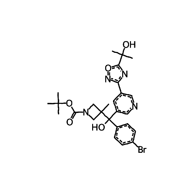 CC(C)(C)OC(=O)N1CC(C)(C(O)(c2ccc(Br)cc2)c2cncc(-c3noc(C(C)(C)O)n3)c2)C1